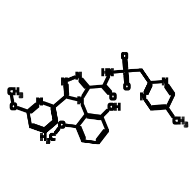 COC1=NC(c2nnc(C(=O)NS(=O)(=O)Cc3ncc(C)cn3)n2-c2c(O)cccc2OC)=C=C=C1